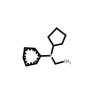 CCP(c1ccccc1)C1CCCC1